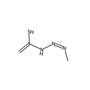 C=C(S)N/N=N\C